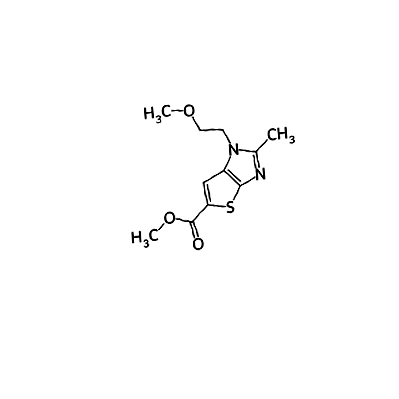 COCCn1c(C)nc2sc(C(=O)OC)cc21